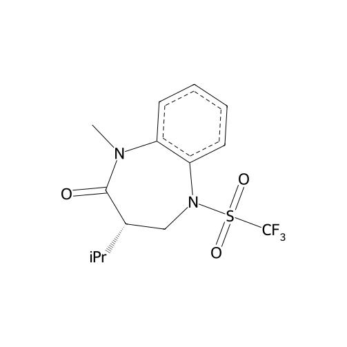 CC(C)[C@H]1CN(S(=O)(=O)C(F)(F)F)c2ccccc2N(C)C1=O